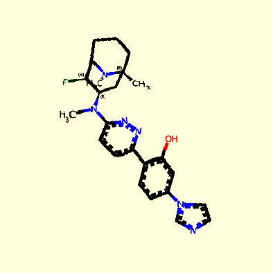 CN(c1ccc(-c2ccc(-n3ccnc3)cc2O)nn1)[C@@H]1C[C@@]2(C)CCCC([C@@H]1F)N2C